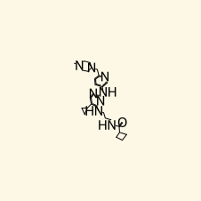 CN1CCN(Cc2ccc(Nc3ncc(C4CC4)c(NCCCNC(=O)C4CCC4)n3)cn2)CC1